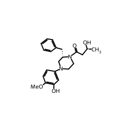 COc1ccc(N2CCN(C(=O)C[C@H](C)O)[C@@H](Cc3ccccc3)C2)cc1O